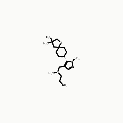 CN(CCN)Cc1cnn(C)c1[C@H]1CC[C@@]2(CC1)CC(C)(C)CO2